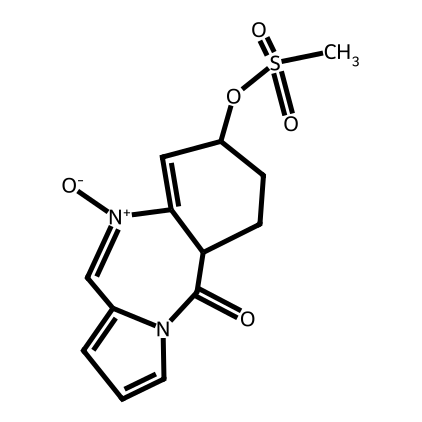 CS(=O)(=O)OC1C=C2C(CC1)C(=O)n1cccc1C=[N+]2[O-]